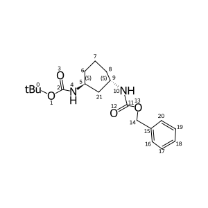 CC(C)(C)OC(=O)N[C@H]1CCC[C@H](NC(=O)OCc2ccccc2)C1